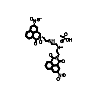 CN(CCNCC[N+]1([O-])Cc2cc([N+](=O)[O-])cc3cccc(c23)C1=O)CCN1C(=O)c2cccc3cc([N+](=O)[O-])cc(c23)C1=O.CS(=O)(=O)O